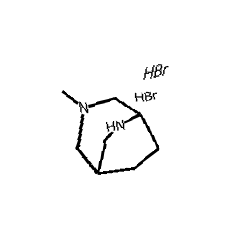 Br.Br.CN1CC2CCC(C1)NC2